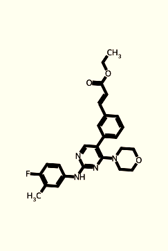 CCOC(=O)C=Cc1cccc(-c2cnc(Nc3ccc(F)c(C)c3)nc2N2CCOCC2)c1